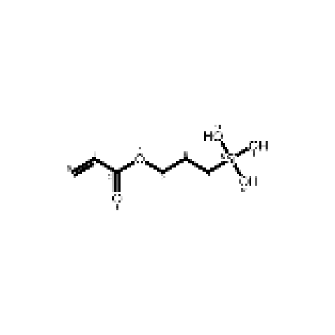 C=CC(=O)OCCC[Si](O)(O)O